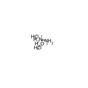 Cl.Cl.NN.O